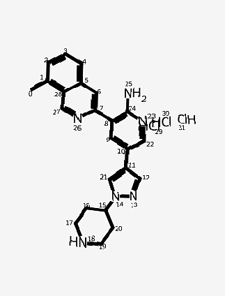 Cc1cccc2cc(-c3cc(-c4cnn(C5CCNCC5)c4)cnc3N)ncc12.Cl.Cl.Cl